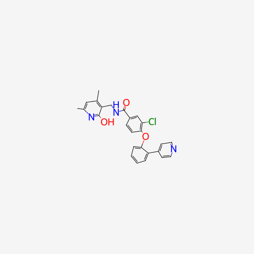 Cc1cc(C)c(CNC(=O)c2ccc(Oc3ccccc3-c3ccncc3)c(Cl)c2)c(O)n1